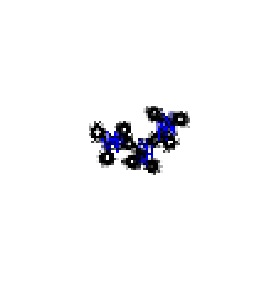 C1=Cc2c(n(-c3nc(-c4ccccc4)nc(-c4ccccc4)n3)c3ccc(-c4nc(-c5ccc6c(c5)c5ccccc5n6-c5nc(-c6ccccc6)nc(-c6ccccc6)n5)nc5c4c4ccccc4n5-c4ccccc4)cc23)CC1